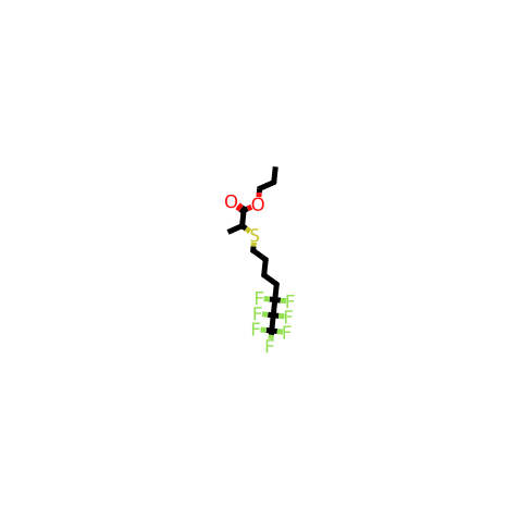 CCCOC(=O)C(C)SCCCCC(F)(F)C(F)(F)C(F)(F)F